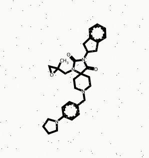 CC1(CN2C(=O)N(C3Cc4ccccc4C3)C(=O)C23CCN(Cc2ccc(N4CCCC4)cc2)CC3)CO1